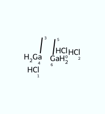 Cl.Cl.Cl.[CH3][GaH2].[CH3][GaH2]